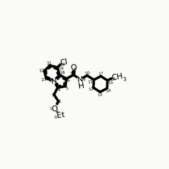 CCOCCc1cc(C(=O)NCC2CCCC(C)C2)c2c(Cl)cccn12